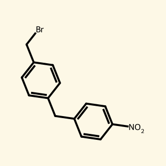 O=[N+]([O-])c1ccc(Cc2ccc(CBr)cc2)cc1